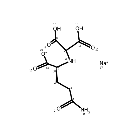 NC(=O)CC[C@H](NC(C(=O)O)C(=O)O)C(=O)[O-].[Na+]